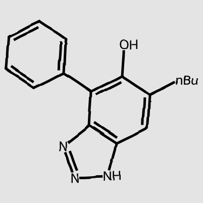 CCCCc1cc2[nH]nnc2c(-c2ccccc2)c1O